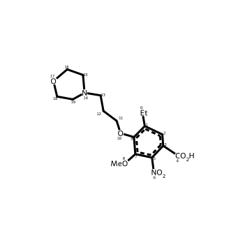 CCc1cc(C(=O)O)c([N+](=O)[O-])c(OC)c1OCCCN1CCOCC1